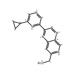 CC(=O)OCc1cc2nc(-c3cncc(C4CC4)n3)cnc2cn1